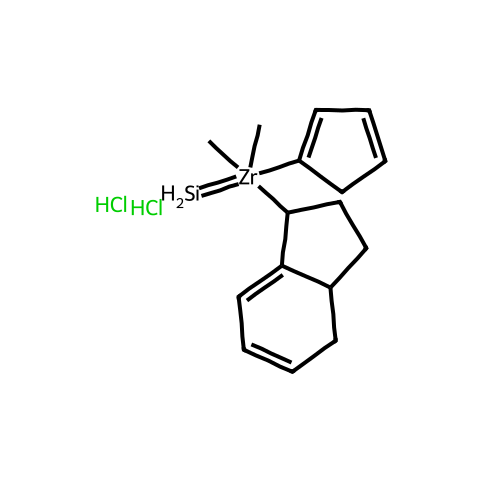 Cl.Cl.[CH3][Zr]([CH3])(=[SiH2])([C]1=CC=CC1)[CH]1CCC2CC=CC=C21